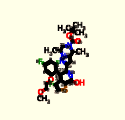 COCCOc1cc(F)cc(F)c1-c1c(-c2cc3n(n2)[C@@H](C)CN(C(=O)OC(C)(C)C)[C@@H]3C)nc(O)c2scc(F)c12